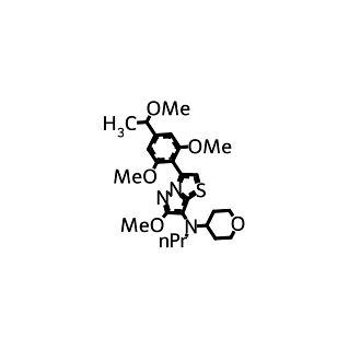 CCCN(c1c(OC)nn2c(-c3c(OC)cc(C(C)OC)cc3OC)csc12)C1CCOCC1